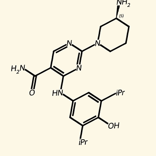 CC(C)c1cc(Nc2nc(N3CCC[C@H](N)C3)ncc2C(N)=O)cc(C(C)C)c1O